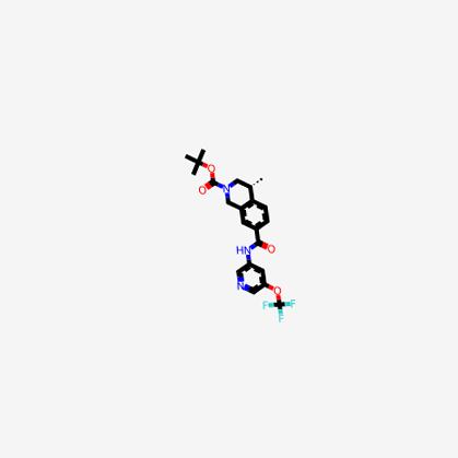 C[C@H]1CN(C(=O)OC(C)(C)C)Cc2cc(C(=O)Nc3cncc(OC(F)(F)F)c3)ccc21